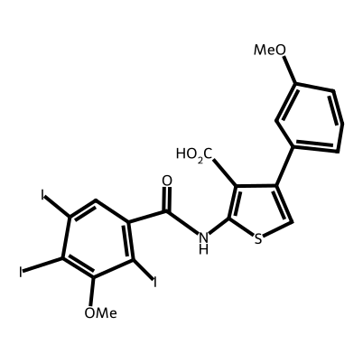 COc1cccc(-c2csc(NC(=O)c3cc(I)c(I)c(OC)c3I)c2C(=O)O)c1